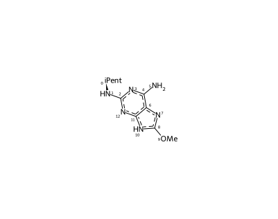 CCC[C@H](C)Nc1nc(N)c2nc(OC)[nH]c2n1